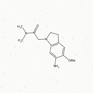 COc1cc2c(cc1N)N(CC(=O)N(C)C)CC2